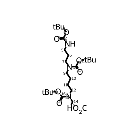 CC(C)(C)OC(=O)NCCCN(CCCCN(CC(=O)O)C(=O)OC(C)(C)C)C(=O)OC(C)(C)C